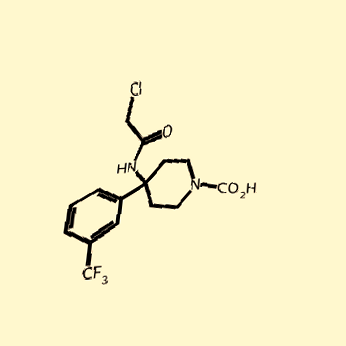 O=C(CCl)NC1(c2cccc(C(F)(F)F)c2)CCN(C(=O)O)CC1